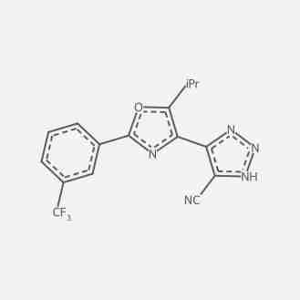 CC(C)c1oc(-c2cccc(C(F)(F)F)c2)nc1-c1nn[nH]c1C#N